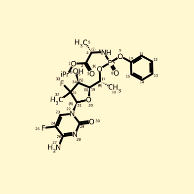 CC(C)OC(=O)[C@H](C)NP(=O)(Oc1ccccc1)O[C@H](C)[C@H]1O[C@@H](n2cc(F)c(N)nc2=O)C(C)(F)[C@H]1O